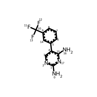 Nc1ncc(-c2cccc(C(F)(F)F)c2)c(N)n1